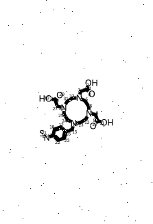 O=C(O)CN1CCN(CC(=O)O)CCN(Cc2ccc(N=S)cc2)CCN(CC(=O)O)CC1